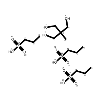 CC(CO)(CO)CO.CCCS(=O)(=O)O.CCCS(=O)(=O)O.CCCS(=O)(=O)O